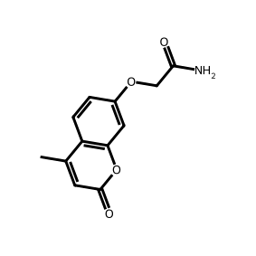 Cc1cc(=O)oc2cc(OCC(N)=O)ccc12